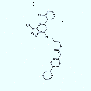 Bc1cnn2c(NCCCN(C)C(=O)Cc3ccc(-c4ccccc4)cc3)cc(-c3ccccc3Cl)nc12